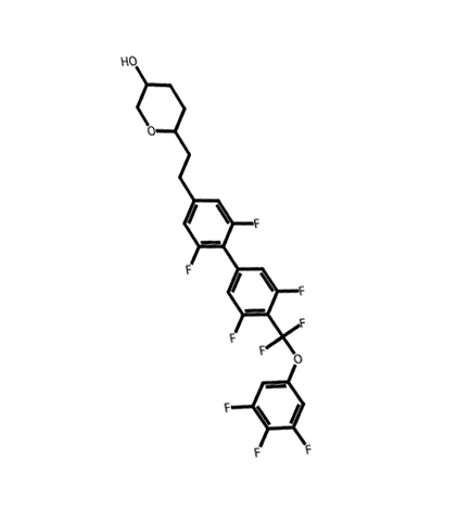 OC1CCC(CCc2cc(F)c(-c3cc(F)c(C(F)(F)Oc4cc(F)c(F)c(F)c4)c(F)c3)c(F)c2)OC1